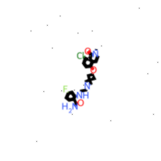 Cn1ccc2c(OC3CC4(C3)CN(CCNc3cc(F)ccc3C(N)=O)C4)ccc(Cl)c2c1=O